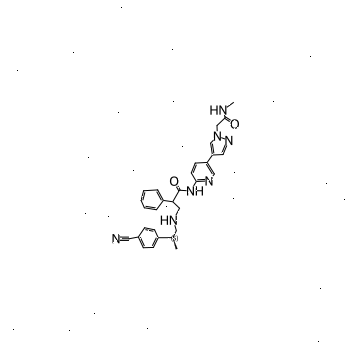 CNC(=O)Cn1cc(-c2ccc(NC(=O)C(CNC[C@@H](C)c3ccc(C#N)cc3)c3ccccc3)nc2)cn1